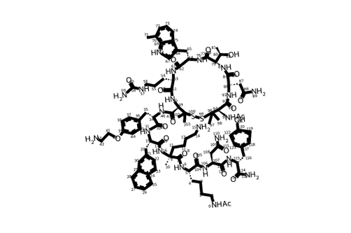 CC(=O)NCCCC[C@H](NC(=O)[C@](C)(CCCCN)NC(=O)[C@H](Cc1ccc2ccccc2c1)NC(=O)[C@H](Cc1ccc(OCCN)cc1)NC(=O)[C@H]1NC(=O)[C@H](CCCNC(N)=O)NC(=O)[C@H](Cc2c[nH]c3c(C)cccc23)NC(=O)[C@H]([C@@H](C)O)NC(=O)[C@H](CC(N)=O)NC(=O)[C@@H](NC(C)=O)C(C)(C)SSC1(C)C)C(=O)N[C@@H](CC(N)=O)C(=O)N[C@H](Cc1ccc(O)cc1)C(N)=O